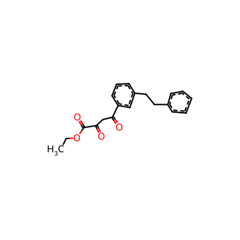 CCOC(=O)C(=O)CC(=O)c1cccc(CCc2ccccc2)c1